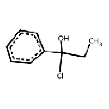 CCC(O)(Cl)c1ccccc1